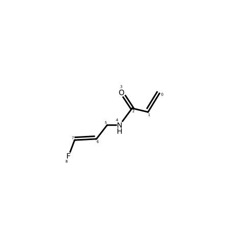 C=CC(=O)NCC=CF